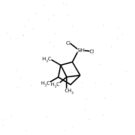 CC1CC2C([SiH](Cl)Cl)C1(C)C2(C)C